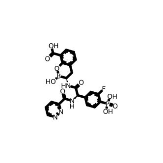 O=C(N[C@@H](C(=O)N[C@H]1Cc2cccc(C(=O)O)c2OB1O)c1ccc(P(=O)(O)O)c(F)c1)c1cccnn1